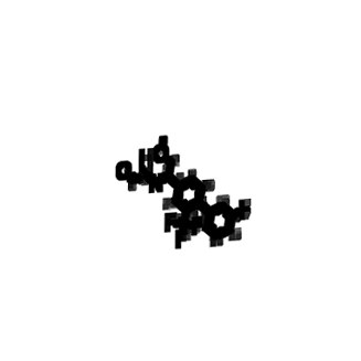 COC/C(=N\NC=O)c1ccc(-c2cccc(F)c2)c(C(F)(F)F)c1